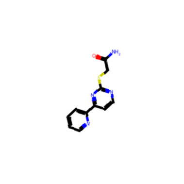 NC(=O)CSc1nccc(-c2ccccn2)n1